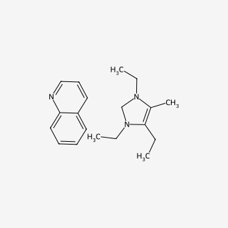 CCC1=C(C)N(CC)CN1CC.c1ccc2ncccc2c1